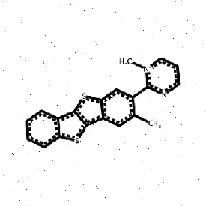 Cc1cc2c(cc1-c1nccc[n+]1C)sc1c3ccccc3sc21